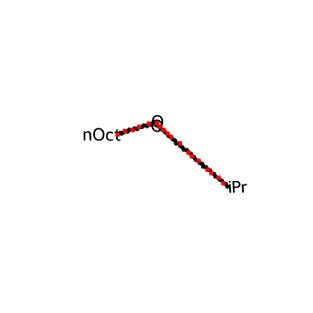 CCCCCCCCC=CCCCCCCCCCCCCCC(=O)OCCCCCCCCCCCCCCCCCCCCCCCCCCCCCCCCCCCCC(C)C